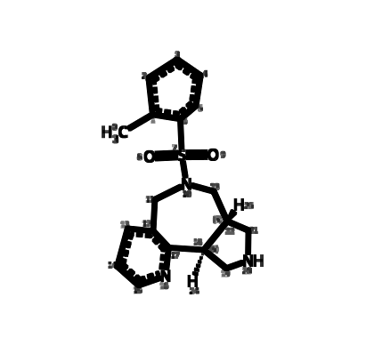 Cc1ccccc1S(=O)(=O)N1Cc2cccnc2[C@@H]2CNC[C@H]2C1